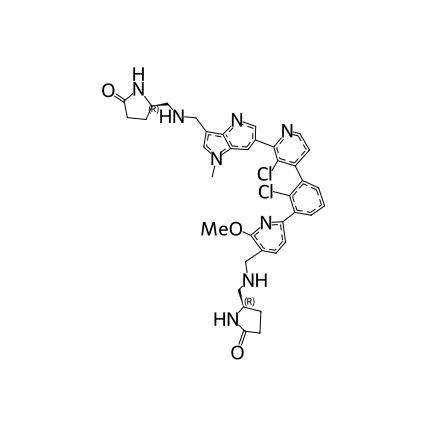 COc1nc(-c2cccc(-c3ccnc(-c4cnc5c(CNC[C@H]6CCC(=O)N6)cn(C)c5c4)c3Cl)c2Cl)ccc1CNC[C@H]1CCC(=O)N1